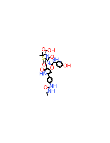 CCNC(=O)Nc1ccc(-c2ccc(C(=O)N(C(=O)C(N)c3ccc(O)cc3)[C@@H]3C(=O)N4[C@@H]3SC(C)(C)[C@@H]4C(=O)O)c(=O)[nH]2)cc1